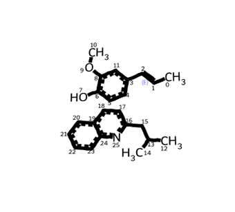 C/C=C/c1ccc(O)c(OC)c1.CC(C)Cc1ccc2ccccc2n1